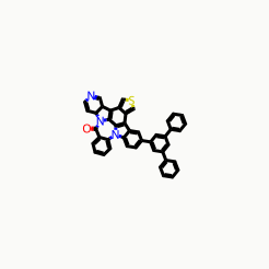 O=C1c2ccccc2-n2c3ccc(-c4cc(-c5ccccc5)cc(-c5ccccc5)c4)cc3c3c4cscc4c4c(c32)N1C1C=CN=CC41